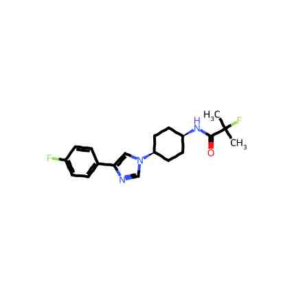 CC(C)(F)C(=O)N[C@H]1CC[C@@H](n2cnc(-c3ccc(F)cc3)c2)CC1